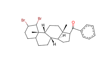 C[C@@]12C(CCC(Br)C1Br)CC[C@@H]1[C@H]2CC[C@]2(C)C(C(=O)c3ccccc3)CC[C@@H]12